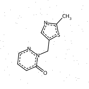 Cc1ncc(Cn2ncccc2=O)s1